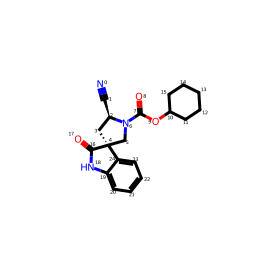 N#C[C@@H]1C[C@@]2(CN1C(=O)OC1CCCCC1)C(=O)Nc1ccccc12